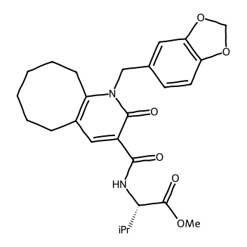 COC(=O)[C@@H](NC(=O)c1cc2c(n(Cc3ccc4c(c3)OCO4)c1=O)CCCCCC2)C(C)C